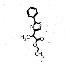 CCOC(=O)C(C)c1csc(-c2ccccc2)n1